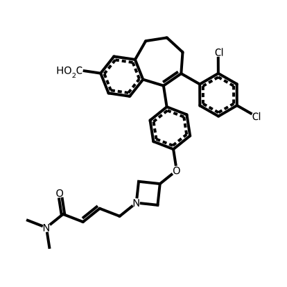 CN(C)C(=O)C=CCN1CC(Oc2ccc(C3=C(c4ccc(Cl)cc4Cl)CCCc4cc(C(=O)O)ccc43)cc2)C1